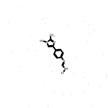 CCN/C=N/c1ccc(-c2cn(S)c(C)n2)cc1